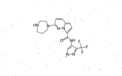 Cn1cc(NC(=O)c2ccc3ccc(N4CCCNCC4)nn23)c(C(F)(F)F)n1